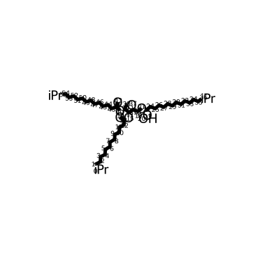 CC(C)CCCCCCCCCCCCC(=O)O[C@H]1[C@@H]([C@@H](CO)OC(=O)CCCCCCCCCCCCC(C)C)OC[C@@H]1OC(=O)CCCCCCCCCCCCC(C)C